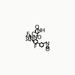 CC1CN(c2cc(F)c(-c3cccc(CN(C)C4COC4)c3)cc2NC(=O)c2c[nH]c(=O)cc2C(F)(F)F)CC(C)N1C